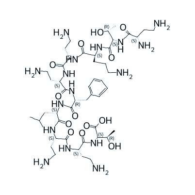 CC(C)C[C@H](NC(=O)[C@@H](Cc1ccccc1)NC(=O)[C@H](CCN)NC(=O)[C@H](CCN)NC(=O)[C@H](CCCN)NC(=O)[C@@H](NC(=O)[C@@H](N)CCN)[C@@H](C)O)C(=O)N[C@@H](CCN)C(=O)N[C@@H](CCN)C(=O)N[C@H](C(=O)O)[C@@H](C)O